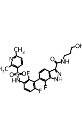 Cc1ccc(S(=O)(=O)Nc2ccc(F)c(-c3ccc4c(C(=O)NCCCO)n[nH]c4c3F)c2F)c(C)n1